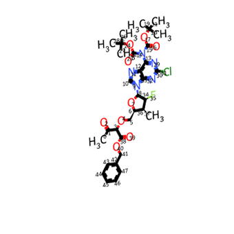 CC(=O)C(OC[C@H]1O[C@@H](n2cnc3c(N(C(=O)OC(C)(C)C)C(=O)OC(C)(C)C)nc(Cl)nc32)[C@@H](F)[C@@H]1C)C(=O)OCc1ccccc1